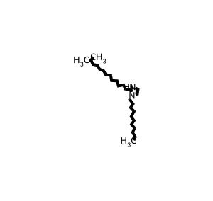 CCCCCCCCCCC[n+]1cc[nH]c1CCCCCCCCCCCC(C)C